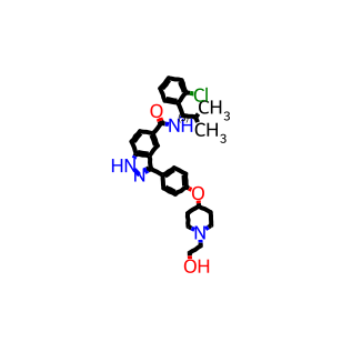 CC(C)[C@H](NC(=O)c1ccc2[nH]nc(-c3ccc(OC4CCN(CCO)CC4)cc3)c2c1)c1ccccc1Cl